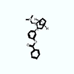 CN(C)C[C@H]1[C@@H]2CC[C@@H](C2)C[C@H]1c1cccc(OC(=O)c2ccccc2)c1